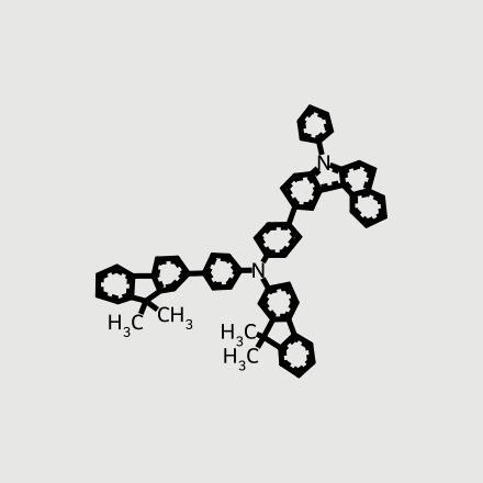 CC1(C)c2ccccc2-c2ccc(-c3ccc(N(c4ccc(-c5ccc6c(c5)c5c7ccccc7ccc5n6-c5ccccc5)cc4)c4ccc5c(c4)C(C)(C)c4ccccc4-5)cc3)cc21